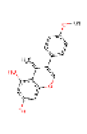 C=C1C(c2ccc(OC#N)cc2)=COc2cc(O)cc(O)c21